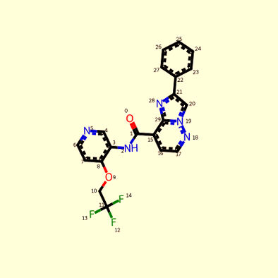 O=C(Nc1cnccc1OCC(F)(F)F)c1ccnn2cc(-c3ccccc3)nc12